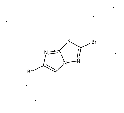 Brc1cn2nc(Br)sc2n1